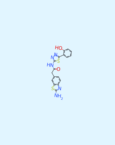 Nc1nc2ccc(CC(=O)Nc3nnc(-c4ccccc4O)s3)cc2s1